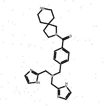 O=C(c1ccc(CN(Cc2ncc[nH]2)Cc2ncc[nH]2)cc1)N1CCC2(CCNCC2)C1